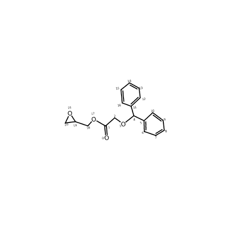 O=C(COC(c1ccccc1)c1ccccc1)OCC1CO1